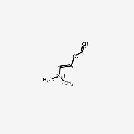 C=COC=C[SiH](C)C